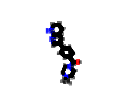 CN1CCN(C(=O)c2ccc(-c3cnc4c(c3)CCCN4)cc2)CC1